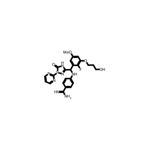 COc1cc(OCCCO)c(F)c(C(Nc2ccc(C(=N)N)cc2)c2nn(-c3ncccn3)c(=O)[nH]2)c1